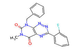 Cn1c(=O)c2nc(-c3ccccc3F)nnc2n(Cc2ccccc2)c1=O